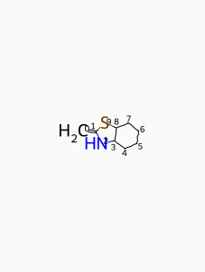 C=C1NC2CCCCC2S1